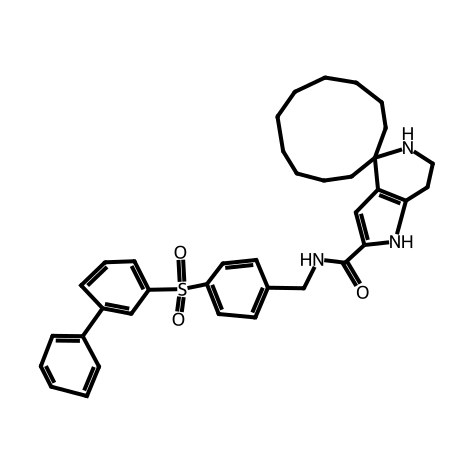 O=C(NCc1ccc(S(=O)(=O)c2cccc(-c3ccccc3)c2)cc1)c1cc2c([nH]1)CCNC21CCCCCCCCCC1